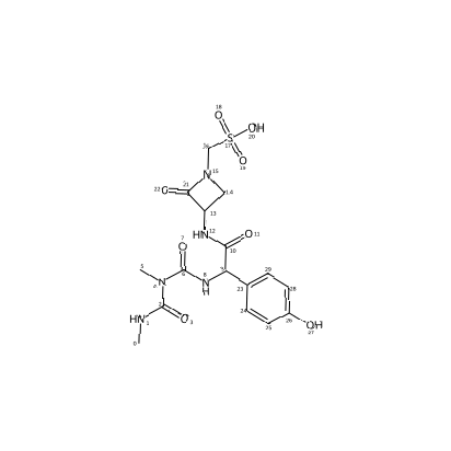 CNC(=O)N(C)C(=O)NC(C(=O)NC1CN(CS(=O)(=O)O)C1=O)c1ccc(O)cc1